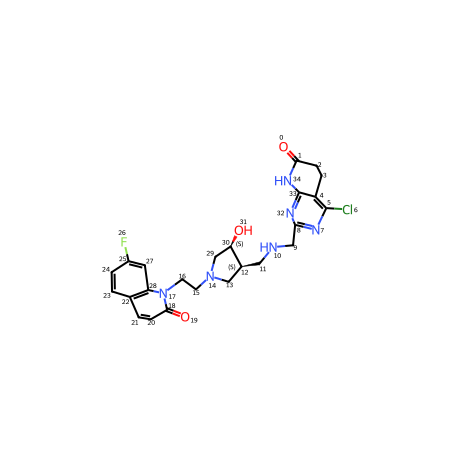 O=C1CCc2c(Cl)nc(CNC[C@H]3CN(CCn4c(=O)ccc5ccc(F)cc54)C[C@H]3O)nc2N1